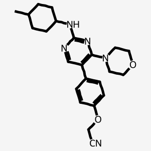 CC1CCC(Nc2ncc(-c3ccc(OCC#N)cc3)c(N3CCOCC3)n2)CC1